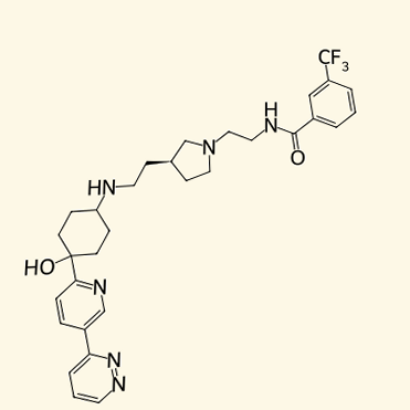 O=C(NCCN1CC[C@@H](CCNC2CCC(O)(c3ccc(-c4cccnn4)cn3)CC2)C1)c1cccc(C(F)(F)F)c1